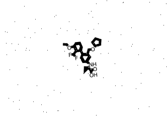 CCOc1cccc(-c2ccc(NC3(C(=O)O)CC3)cc2COC2CCCC2)c1C(F)F